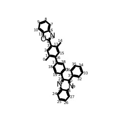 Cc1cc(-c2nc3ccccc3o2)c(C)cc1-c1ccc(-c2nc3ccccc3nc2-c2ccccc2)cc1